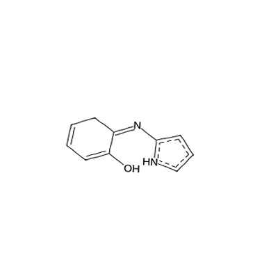 OC1=CC=CCC1=Nc1ccc[nH]1